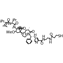 CC[C@H](C)[C@@H]([C@@H](CC(=O)N1CCC[C@H]1[C@H](OC)[C@H](C)C(=O)N[C@H](C[SH]1C=NC(C(=O)NCCNC(=O)CCS)=C1)c1ccccc1)OC)N(C)C(=O)[C@@H](NC(=O)[C@H](C(C)C)N(C)C)C(C)C